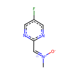 C/[N+]([O-])=C/c1ncc(F)cn1